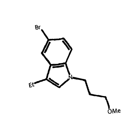 CCc1cn(CCCOC)c2ccc(Br)cc12